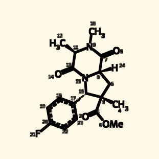 COC(=O)[C@@]1(C)C[C@H]2C(=O)N(C)[C@H](C)C(=O)N2[C@H]1c1ccc(F)cc1